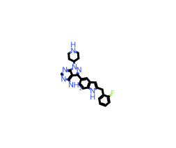 Nc1ncnc2c1c(-c1ccc3[nH]c(Cc4ccccc4F)cc3c1)nn2C1CCNCC1